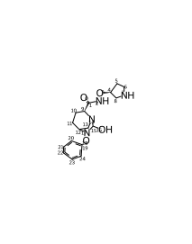 O=C(NO[C@H]1CCNC1)[C@@H]1CCC2CN1C(O)N2Oc1ccccc1